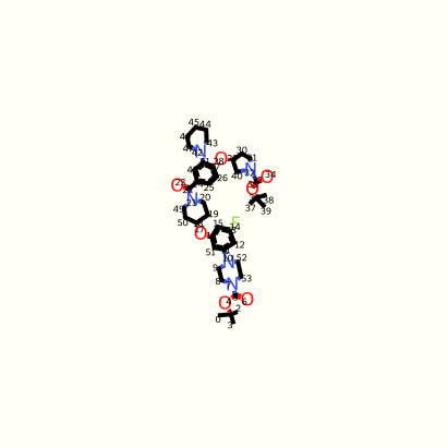 CC(C)(C)OC(=O)N1CCN(c2cc(F)cc(OC3CCN(C(=O)c4ccc(O[C@H]5CCN(C(=O)OC(C)(C)C)C5)c(N5CCCCC5)c4)CC3)c2)CC1